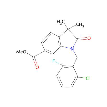 COC(=O)c1ccc2c(c1)N(Cc1c(F)cccc1Cl)C(=O)C2(C)C